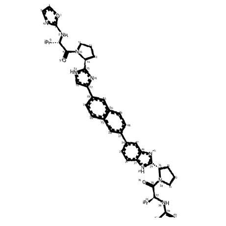 CC(C)[C@H](Nc1ncco1)C(=O)N1CCC[C@H]1c1nc(-c2ccc3cc(-c4ccc5[nH]c([C@@H]6CCCN6C(=O)[C@@H](NC6=NC=CC6)C(C)C)nc5c4)ccc3c2)c[nH]1